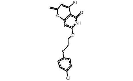 C=C1C=C(CC)c2c(nc(OCCSc3ccc(Cl)cc3)[nH]c2=O)O1